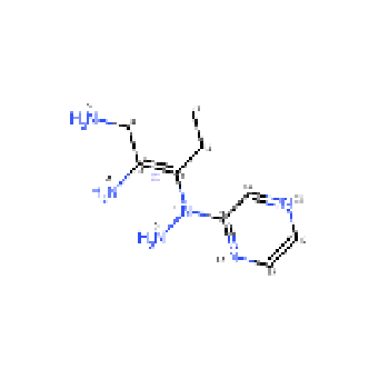 CC/C(=C(/N)CN)N(N)c1cnccn1